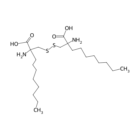 CCCCCCCCC(N)(CSSCC(N)(CCCCCCCC)C(=O)O)C(=O)O